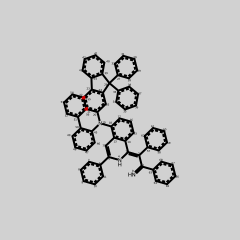 N=C(/C(=C1\NC(c2ccccc2)=Cc2c1cccc2N(c1ccc2c(c1)C(c1ccccc1)(c1ccccc1)c1ccccc1-2)c1ccccc1-c1ccccc1)c1ccccc1)c1ccccc1